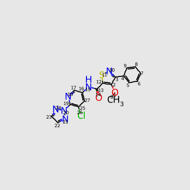 COc1c(-c2ccccc2)nsc1C(=O)Nc1cnc(-n2nccn2)c(Cl)c1